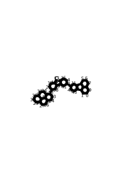 c1cc2c3c(cccc3c1)-c1cc(-c3ccc4sc5ccc(-c6ccc7ccc8cccc9ccc6c7c89)cc5c4c3)ccc1-2